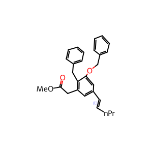 CCC/C=C/c1cc(CC(=O)OC)c(Cc2ccccc2)c(OCc2ccccc2)c1